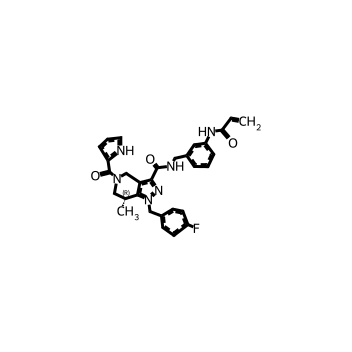 C=CC(=O)Nc1cccc(CNC(=O)c2nn(Cc3ccc(F)cc3)c3c2CN(C(=O)c2ccc[nH]2)C[C@H]3C)c1